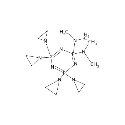 CN(C)P1(N(C)C)=NP(N2CC2)(N2CC2)=NP(N2CC2)(N2CC2)=N1